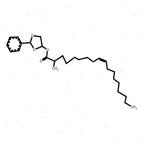 CCCCCCCC/C=C\CCCCCCC(C)C(=O)OC1COC(c2ccccc2)O1